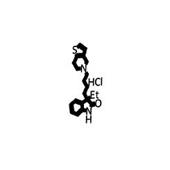 CCC1(CCCCN2CCc3sccc3C2)C(=O)Nc2ccccc21.Cl